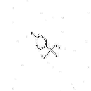 CP(C)(=S)c1ccc(F)cc1